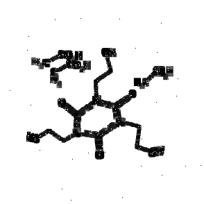 CC(=O)O.CC(=O)O.CC(=O)O.O=c1n(CCO)c(=O)n(CCO)c(=O)n1CCO